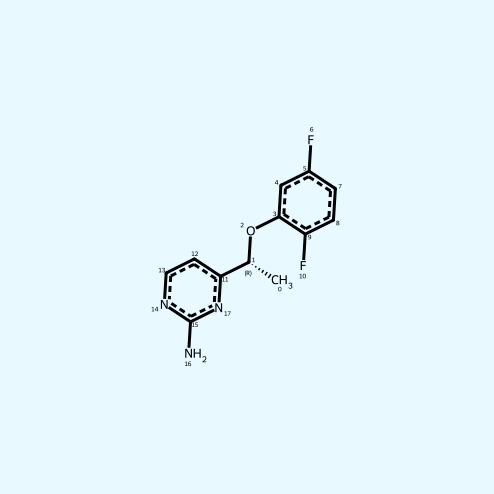 C[C@@H](Oc1cc(F)ccc1F)c1ccnc(N)n1